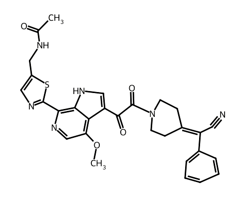 COc1cnc(-c2ncc(CNC(C)=O)s2)c2[nH]cc(C(=O)C(=O)N3CCC(=C(C#N)c4ccccc4)CC3)c12